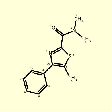 Cc1sc(C(=O)N(C)C)nc1-c1ccccc1